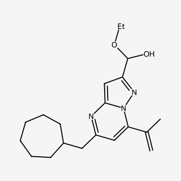 C=C(C)c1cc(CC2CCCCCC2)nc2cc(C(O)OCC)nn12